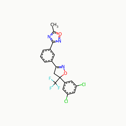 Cc1nc(-c2cccc(C3=NOC(c4cc(Cl)cc(Cl)c4)(C(F)(F)F)C3)c2)no1